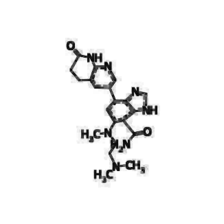 CN(C)CCN(C)c1cc(-c2cnc3c(c2)CCC(=O)N3)c2nc[nH]c2c1C(N)=O